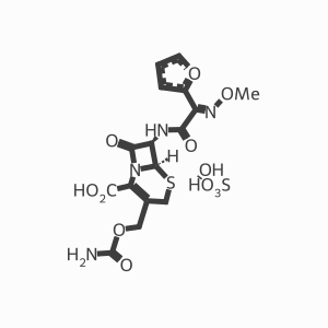 CO/N=C(/C(=O)N[C@@H]1C(=O)N2C(C(=O)O)=C(COC(N)=O)CS[C@H]12)c1ccco1.O=S(=O)(O)O